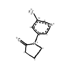 O=C1[CH]CCN1c1cncc(C(F)(F)F)c1